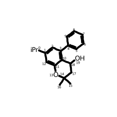 CC(C)c1[c]c(-c2ccccc2)c2c(c1)OC(C)(C)CC2O